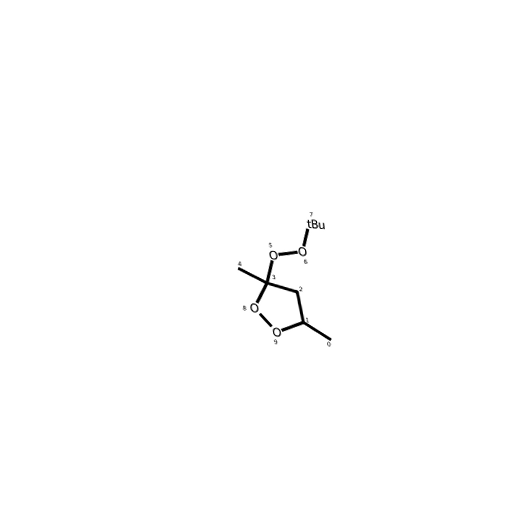 CC1CC(C)(OOC(C)(C)C)OO1